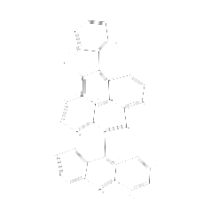 c1ccc2c(-c3cc4cccc5c6c7ccccc7oc6c6cccc3c6c45)c3ccccc3cc2c1